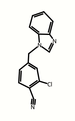 N#Cc1ccc(Cn2cnc3ccccc32)cc1Cl